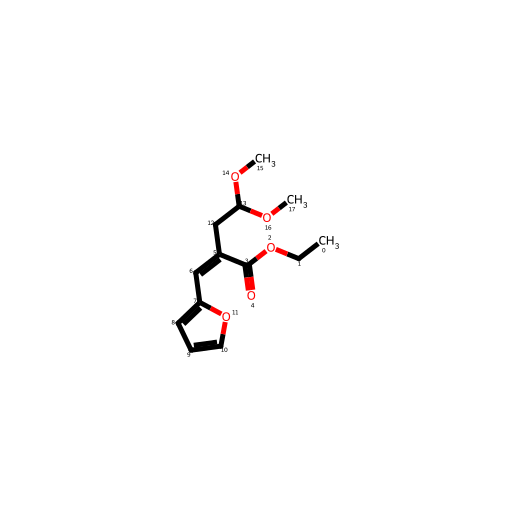 CCOC(=O)C(=Cc1ccco1)CC(OC)OC